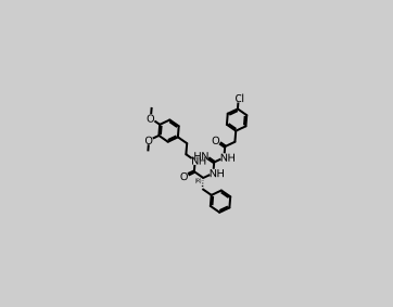 COc1ccc(CCNC(=O)[C@@H](Cc2ccccc2)NC(=N)NC(=O)Cc2ccc(Cl)cc2)cc1OC